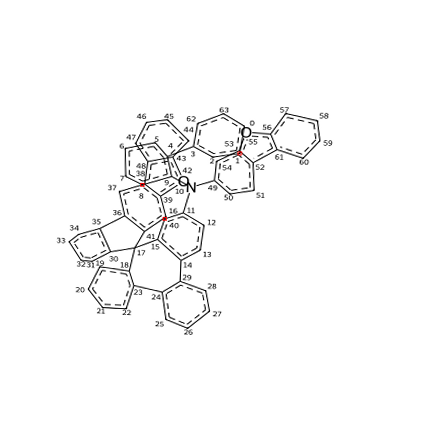 c1ccc(-c2ccccc2N(c2ccc3c(c2)C2(c4ccccc4-c4ccccc4-3)c3ccccc3-c3cc4c(cc32)oc2ccccc24)c2ccc3c(c2)oc2ccccc23)cc1